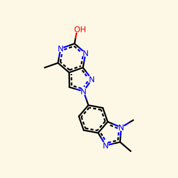 Cc1nc(O)nc2nn(-c3ccc4nc(C)n(C)c4c3)cc12